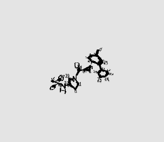 Cc1ccc([C@@H]2C[C@H]2C(=O)N2CC[C@@H](NS(C)(=O)=O)C2)c(-c2ccccc2)c1